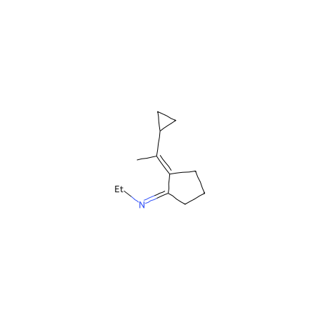 CC/N=C1/CCC/C1=C(/C)C1CC1